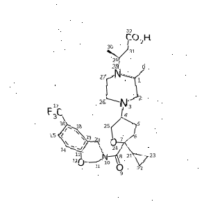 CC1CN(C2CCC(C(=O)N3COc4ccc(C(F)(F)F)cc4C3)(C3CC3)OC2)CCN1[C@@H](C)CC(=O)O